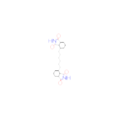 O=C1NC(=O)c2c(CCCCCCc3cccc4c3C(=O)NC4=O)cccc21